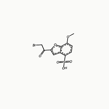 COc1ccc(S(=O)(=O)O)c2cc(C(=O)CBr)oc12